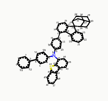 c1ccc(-c2ccc(N(c3ccc(-c4cccc5c4-c4ccccc4C54C5CC6CC(C5)CC4C6)cc3)c3cccc4c3sc3ccccc34)cc2)cc1